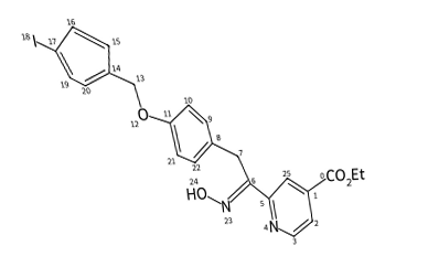 CCOC(=O)c1ccnc(/C(Cc2ccc(OCc3ccc(I)cc3)cc2)=N/O)c1